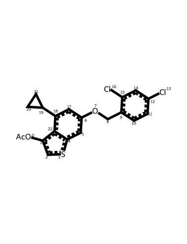 CC(=O)Oc1csc2cc(OCc3ccc(Cl)cc3Cl)cc(C3CC3)c12